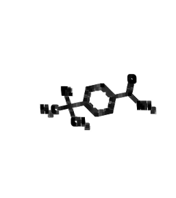 CCC(C)(C)c1ccc(C(N)=O)cc1